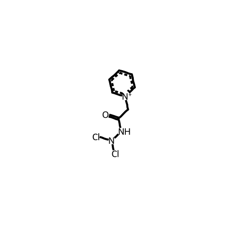 O=C(C[n+]1ccccc1)NN(Cl)Cl